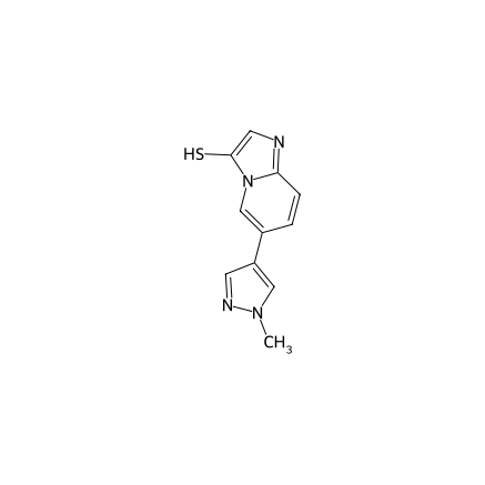 Cn1cc(-c2ccc3ncc(S)n3c2)cn1